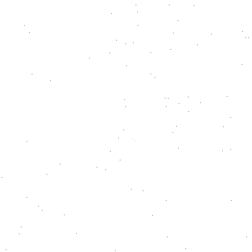 COC(=O)c1cc2ccc(-c3ccc(O)cc3)cc2n1C(=O)OC(C)(C)C